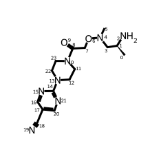 C[C@H](N)CN(C)OCC(=O)N1CCN(c2ncc(C#N)cn2)CC1